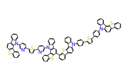 c1ccc2c(c1)sc1c2ccc2c1c1ccccc1n2-c1ccc(-c2ccc(-c3ccc(-n4c5ccccc5c5c6sc7c(-c8cc9c%10ccccc%10n(-c%10ccc(-c%11ccc(-c%12ccc(-n%13c%14ccccc%14c%14ccc%15sc%16ccccc%16c%15c%14%13)cn%12)s%11)nc%10)c9c9c8sc8ccccc89)cccc7c6ccc54)cc3)s2)cc1